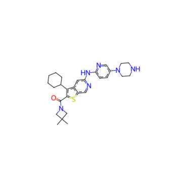 CC1(C)CN(C(=O)c2sc3cnc(Nc4ccc(N5CCNCC5)cn4)cc3c2C2CCCCC2)C1